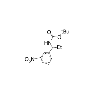 CCC(NC(=O)OC(C)(C)C)c1cccc([N+](=O)[O-])c1